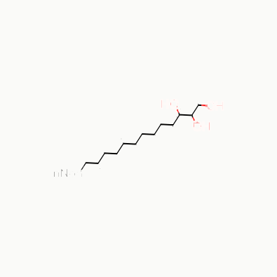 CCCCCCCCCCCCCCCCCCCC(O)C(O)CO